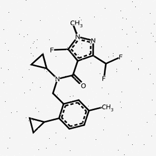 Cc1ccc(C2CC2)c(CN(C(=O)c2c(C(F)F)nn(C)c2F)C2CC2)c1